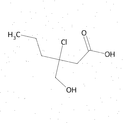 CCCC(Cl)(CO)CC(=O)O